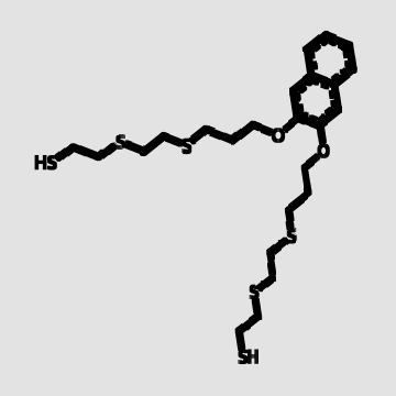 SCCSCCSCCCOc1cc2ccccc2cc1OCCCSCCSCCS